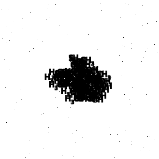 CC(=O)NC1C(O[C@@H]2OC(CO[C@@H]3OC(CO[C@@]4(C(=O)O)CC(O)[C@H](NC(C)=O)C([C@@H](NC(C)=O)[C@H](C)O)O4)[C@@H](O)C(O)C3O)[C@H](O)C(O)C2O)[C@@H](O)C(CO)O[C@H]1OC1C(O)[C@H](OC2C(NC(C)=O)[C@H](NC(=O)CCS)OC(CO)[C@@H]2O)OC(CO[C@@H]2OC(CO[C@@]3(C(=O)O)CC(O)[C@H](NC(C)=O)C([C@@H](NC(C)=O)[C@H](C)O)O3)[C@@H](O)C(O)[C@@H]2O)[C@@H]1O